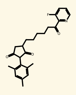 Cc1cc(C)c(C2C(=O)CC(CCCCCC(=O)c3ncccc3F)C2=O)c(C)c1